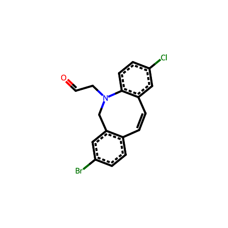 O=CCN1Cc2cc(Br)ccc2C=Cc2cc(Cl)ccc21